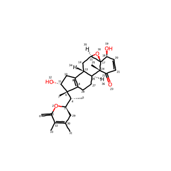 C=C1O[C@@H]([C@@H](C)[C@@]2(C)C3=C(C[C@H]2O)[C@@H]2C[C@H]4O[C@]45[C@@H](O)C=CC(=O)[C@]5(C)[C@H]2CC3)CC(C)=C1C